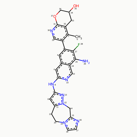 Cc1c(-c2cc3cc(Nc4cc5n(n4)Cc4nccn4CC5)ncc3c(N)c2F)cnc2c1CC(O)CO2